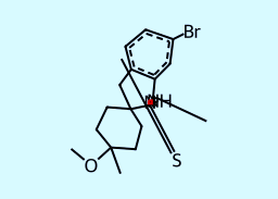 COC1(C)CCC2(CC1)Cc1ccc(Br)cc1C21N=C(C)C(=S)N1